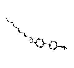 CCCCC=CC=CCOc1ccc(-c2ccc(C#N)cc2)cc1